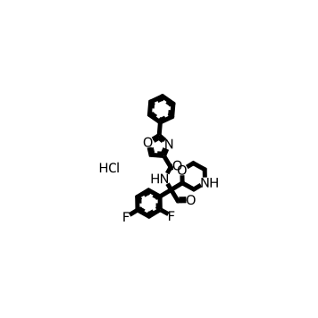 Cl.O=CC(NC(=O)c1coc(-c2ccccc2)n1)(c1ccc(F)cc1F)C1CNCCO1